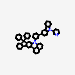 c1ccc(C2(c3ccccc3)c3ccccc3-c3cc4c(cc32)N(c2cccc(-c3ccc5c(c3)c3ccccc3n5-c3cccnc3)c2)c2cccc3cccc-4c23)cc1